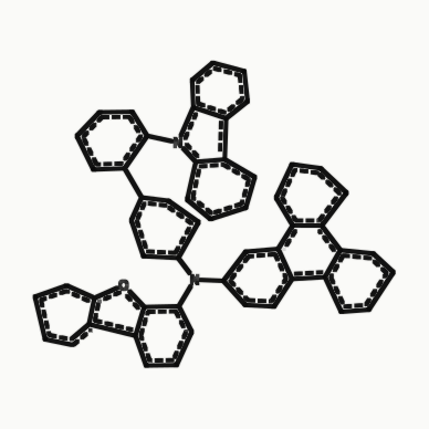 c1ccc(-n2c3ccccc3c3ccccc32)c(-c2ccc(N(c3ccc4c5ccccc5c5ccccc5c4c3)c3cccc4c3oc3ccccc34)cc2)c1